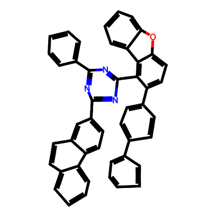 c1ccc(-c2ccc(-c3ccc4oc5ccccc5c4c3-c3nc(-c4ccccc4)nc(-c4ccc5c(ccc6ccccc65)c4)n3)cc2)cc1